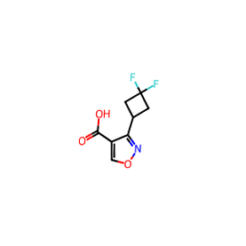 O=C(O)c1conc1C1CC(F)(F)C1